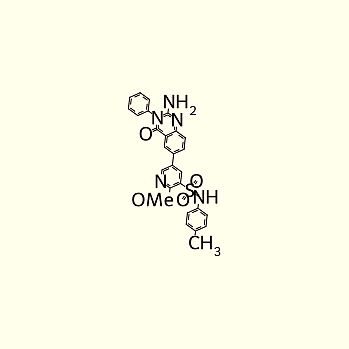 COc1ncc(-c2ccc3nc(N)n(-c4ccccc4)c(=O)c3c2)cc1S(=O)(=O)Nc1ccc(C)cc1